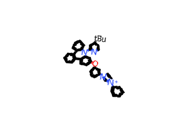 CC(C)(C)c1ccnc(N2c3ccccc3-c3ccccc3-c3ccc(Oc4cccc(-n5cc[n+](-c6ccccc6)c5)c4)cc32)c1